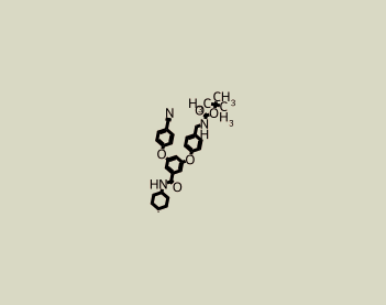 CC(C)(C)OC(=O)NCc1ccc(Oc2cc(Oc3ccc(C#N)cc3)cc(C(=O)NC3CC[CH]CC3)c2)cc1